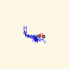 Nc1ncnc2c1c(-c1ccc(Oc3ccccc3)cc1)nn2C1CCN(C2CN(CC3CCNC3)C2)CC1